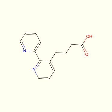 O=C(O)CCCc1cccnc1-c1ccccn1